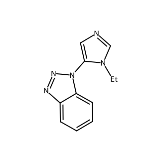 CCn1cncc1-n1nnc2ccccc21